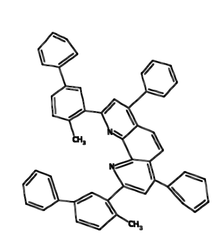 Cc1ccc(-c2ccccc2)cc1-c1cc(-c2ccccc2)c2ccc3c(-c4ccccc4)cc(-c4cc(-c5ccccc5)ccc4C)nc3c2n1